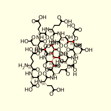 N[C@@H](CCC(=O)O)C(=O)N[C@@H](CC(=O)O)C(=O)N[C@@H](CCC(=O)O)C(=O)N[C@@H](CCC(=O)O)C(=O)N[C@@H](CC(=O)O)C(=O)N[C@@H](CCC(=O)O)C(=O)N[C@@H](CC(=O)O)C(=O)N[C@@H](CCC(=O)O)C(=O)N[C@@H](CCC(=O)O)C(=O)N[C@@H](CCC(=O)O)C(=O)N[C@@H](CC(=O)O)C(=O)N[C@@H](CC(=O)O)C(=O)N[C@@H](CC(=O)O)C(=O)N[C@@H](CC(=O)O)C(=O)N[C@@H](CCC(=O)O)C(=O)O